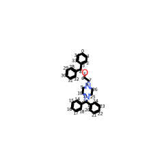 c1ccc(C(OCCN2CCN(C(c3ccccc3)c3ccccc3)CC2)c2ccccc2)cc1